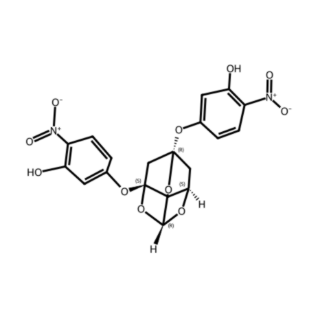 O=[N+]([O-])c1ccc(O[C@]23C[C@H]4C[C@](Oc5ccc([N+](=O)[O-])c(O)c5)(C2)O[C@H](O4)O3)cc1O